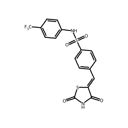 O=C1NC(=O)C(=Cc2ccc(S(=O)(=O)Nc3ccc(C(F)(F)F)cc3)cc2)S1